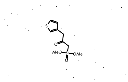 COP(=O)(CC(=O)Cc1ccsc1)OC